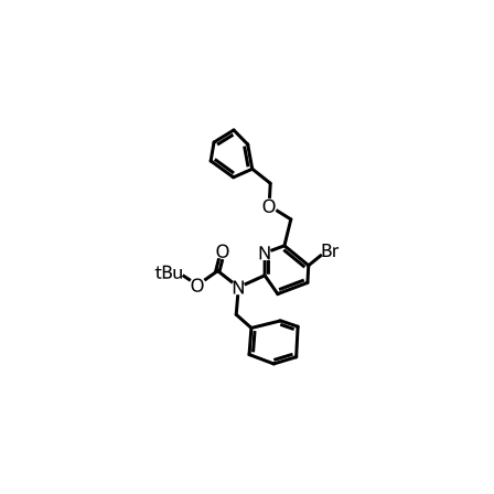 CC(C)(C)OC(=O)N(Cc1ccccc1)c1ccc(Br)c(COCc2ccccc2)n1